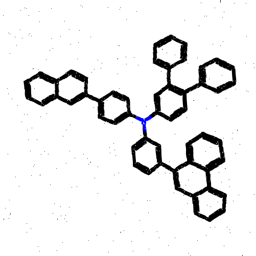 c1ccc(-c2ccc(N(c3ccc(-c4ccc5ccccc5c4)cc3)c3cccc(-c4cc5ccccc5c5ccccc45)c3)cc2-c2ccccc2)cc1